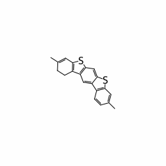 CC1=Cc2sc3cc4sc5cc(C)ccc5c4cc3c2CC1